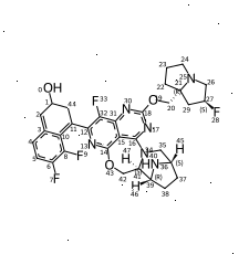 OC1C=c2ccc(F)c(F)c2=C(c2nc3c4c(nc(OC[C@]56CCCN5C[C@@H](F)C6)nc4c2F)N2C[C@@H]4CC[C@@H](N4)[C@H]2CO3)C1